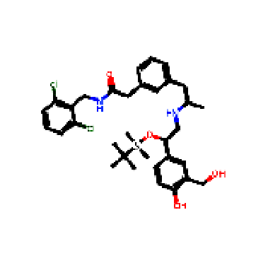 CC(Cc1cccc(CC(=O)NCc2c(Cl)cccc2Cl)c1)NCC(O[Si](C)(C)C(C)(C)C)c1ccc(O)c(CO)c1